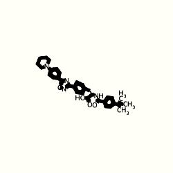 CC(C)(C)c1ccc(C(=O)N[C@@H](Cc2ccc(-c3noc(-c4ccc(N5CCCCC5)cc4)n3)cc2)C(=O)O)cc1